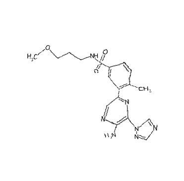 COCCCNS(=O)(=O)c1ccc(C)c(-c2cnc(N)c(-n3cncn3)n2)c1